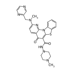 CN1CCN(NC(=O)c2c(=O)c3ccc(N(C)Cc4cnccn4)nc3n3c2sc2ccccc23)CC1